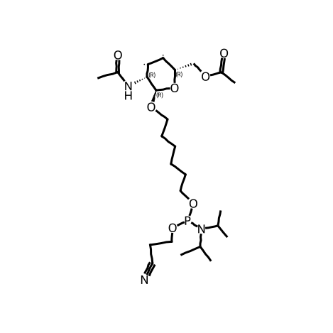 CC(=O)N[C@@H]1[CH][CH][C@H](COC(C)=O)O[C@H]1OCCCCCCOP(OCCC#N)N(C(C)C)C(C)C